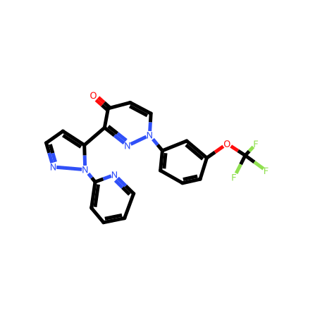 O=c1ccn(-c2cccc(OC(F)(F)F)c2)nc1-c1ccnn1-c1ccccn1